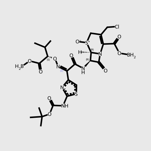 BOC(=O)C1=C(CCl)C[S+]([O-])[C@@H]2[C@H](NC(=O)/C(=N\O[C@H](C(=O)OB)C(C)C)c3csc(NC(=O)OC(C)(C)C)n3)C(=O)N12